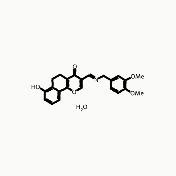 COc1ccc(CN=Cc2coc3c(c2=O)CCc2c(O)cccc2-3)cc1OC.O